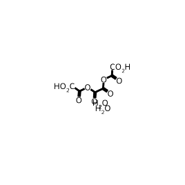 O.O.O=C(O)C(=O)OC(=O)C(=O)OC(=O)C(=O)O